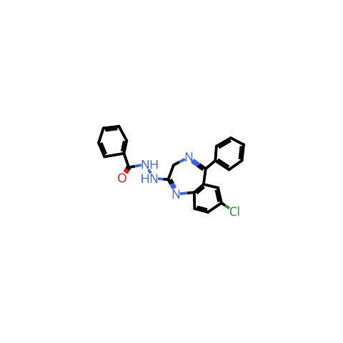 O=C(NNC1=Nc2ccc(Cl)cc2C(c2ccccc2)=NC1)c1ccccc1